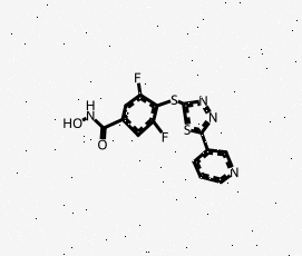 O=C(NO)c1cc(F)c(Sc2nnc(-c3cccnc3)s2)c(F)c1